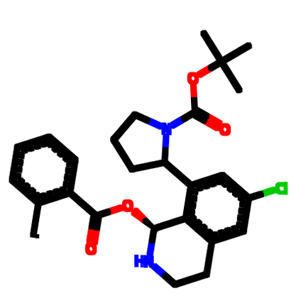 [CH2]c1ccccc1C(=O)O[C@@H]1NCCc2cc(Cl)cc(C3CCCN3C(=O)OC(C)(C)C)c21